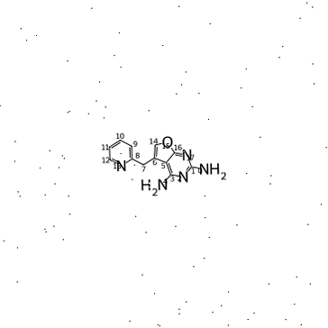 Nc1nc(N)c2c(Cc3ccccn3)coc2n1